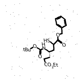 CCOC(=O)CC[C@@H](CC(S)C(=O)OCc1ccccc1)NC(=O)OC(C)(C)C